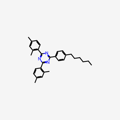 CCCCCCc1ccc(-c2nc(-c3ccc(C)cc3C)nc(-c3ccc(C)cc3C)n2)cc1